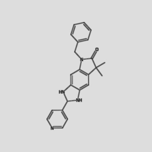 CC1(C)C(=O)N(Cc2ccccc2)c2cc3c(cc21)NC(c1ccncc1)N3